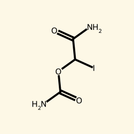 NC(=O)OC(I)C(N)=O